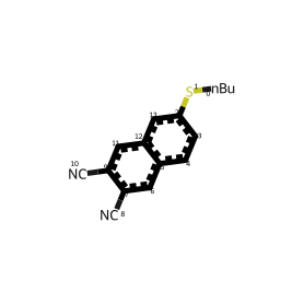 CCCCSc1ccc2cc(C#N)c(C#N)cc2c1